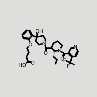 CCC[C@@H]1C(C(=O)N2CCC(O)(c3ccccc3OCCCC(=O)O)CC2)CCCN1C(=O)c1cnccc1C(F)(F)F